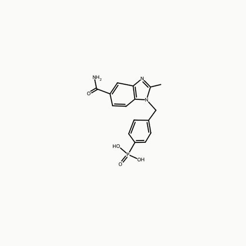 Cc1nc2cc(C(N)=O)ccc2n1Cc1ccc(P(=O)(O)O)cc1